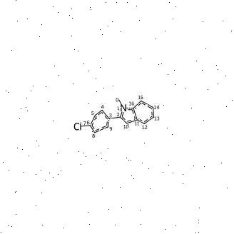 Cn1c(-c2ccc(Cl)cc2)cc2ccccc21